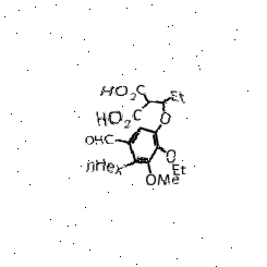 CCCCCCc1c(C=O)cc(OC(CC)C(C(=O)O)C(=O)O)c(OCC)c1OC